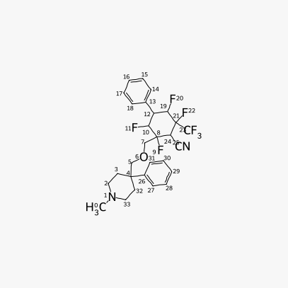 CN1CCC(COCC2(F)C(F)C(c3ccccc3)C(F)C(F)(C(F)(F)F)C2C#N)(c2ccccc2)CC1